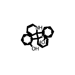 Oc1ccccc1C1(C2(c3ccccc3O)C=CC=CN2)C=CC=CN1